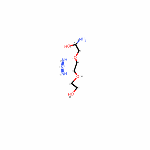 N=[N+]=N.NC(O)COCCOCCO